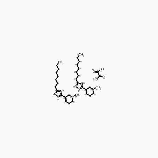 CCCCCCCCc1noc(C2=CCCN(C)C2)n1.CCCCCCCCc1noc(C2=CCCN(C)C2)n1.O=C(O)C(=O)O